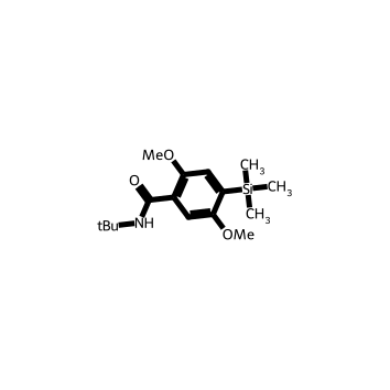 COc1cc([Si](C)(C)C)c(OC)cc1C(=O)NC(C)(C)C